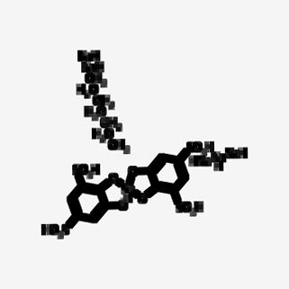 O.O.O.O.O.O.O.O=S(=O)(O)c1cc2c(c(S(=O)(=O)O)c1)[O][SbH]1([O]2)[O]c2cc(S(=O)(=O)O)cc(S(=O)(=O)O)c2[O]1.[NaH].[NaH].[NaH].[NaH].[NaH]